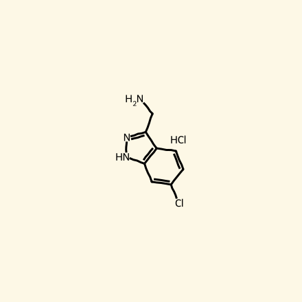 Cl.NCc1n[nH]c2cc(Cl)ccc12